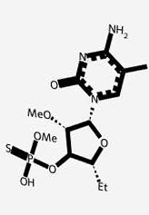 CC[C@H]1O[C@@H](n2cc(C)c(N)nc2=O)[C@@H](OC)C1OP(O)(=S)OC